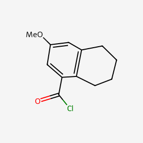 COc1cc2c(c(C(=O)Cl)c1)CCCC2